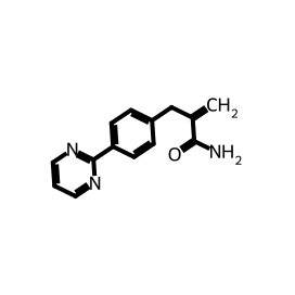 C=C(Cc1ccc(-c2ncccn2)cc1)C(N)=O